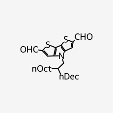 CCCCCCCCCCC(CCCCCCCC)Cn1c2cc(C=O)sc2c2sc(C=O)cc21